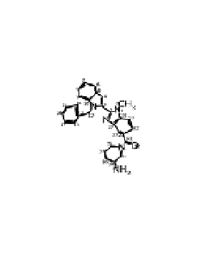 Cn1c(-c2cc3ccccc3n2Cc2ccccc2)nc2cc(C(=O)N3CCC[C@H](N)C3)ccc21